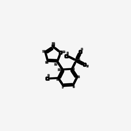 O=S(=O)(Cl)c1cccc(Cl)c1-c1ccno1